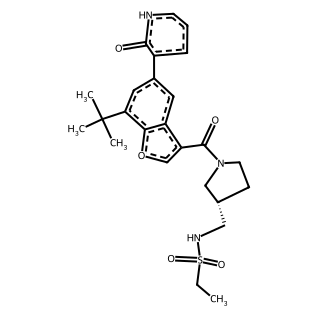 CCS(=O)(=O)NC[C@H]1CCN(C(=O)c2coc3c(C(C)(C)C)cc(-c4ccc[nH]c4=O)cc23)C1